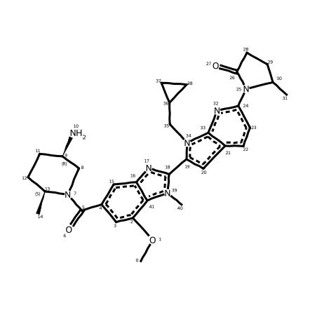 COc1cc(C(=O)N2C[C@H](N)CC[C@@H]2C)cc2nc(-c3cc4ccc(N5C(=O)CCC5C)nc4n3CC3CC3)n(C)c12